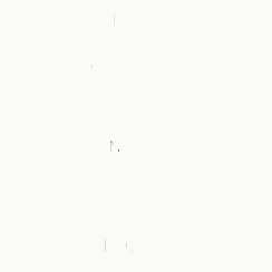 CC[C@H]1CCC(OC)=N1